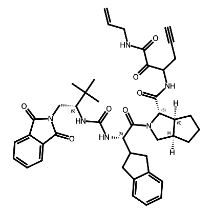 C#CCC(NC(=O)[C@@H]1[C@H]2CCC[C@H]2CN1C(=O)[C@@H](NC(=O)N[C@H](CN1C(=O)c2ccccc2C1=O)C(C)(C)C)C1Cc2ccccc2C1)C(=O)C(=O)NCC=C